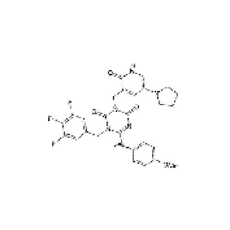 COc1ccc(Nc2nc(=O)n(Cc3cc(N4CCCC4)c[nH]c3=O)c(=O)n2Cc2cc(F)c(F)c(F)c2)cc1